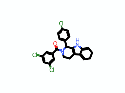 O=C(c1cc(Cl)cc(Cl)c1)N1CCc2c([nH]c3c2=CCCC=3)C1c1ccc(Cl)cc1